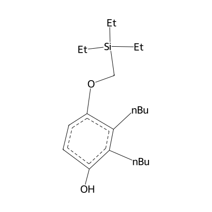 CCCCc1c(O)ccc(OC[Si](CC)(CC)CC)c1CCCC